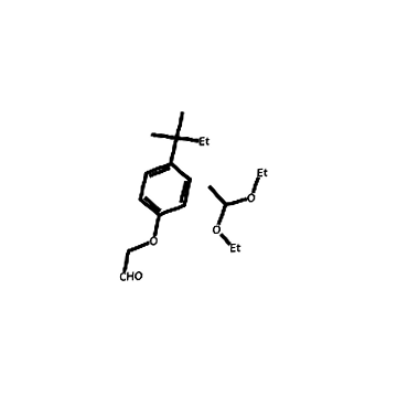 CCC(C)(C)c1ccc(OCC=O)cc1.CCOC(C)OCC